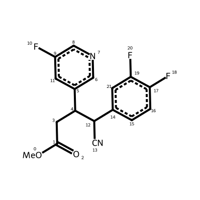 COC(=O)CC(c1cncc(F)c1)C(C#N)c1ccc(F)c(F)c1